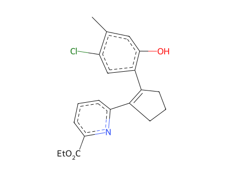 CCOC(=O)c1cccc(C2=C(c3cc(Cl)c(C)cc3O)CCC2)n1